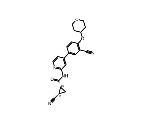 N#Cc1cc(-c2ccnc(NC(=O)[C@@H]3C[C@H]3C#N)c2)ccc1OC1CCOCC1